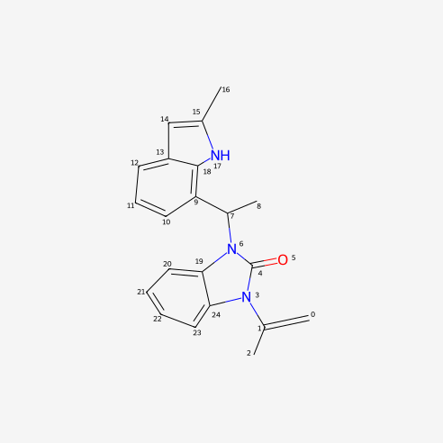 C=C(C)n1c(=O)n(C(C)c2cccc3cc(C)[nH]c23)c2ccccc21